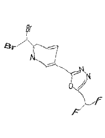 FC(F)c1nnc(-c2ccc(C(Br)Br)nc2)o1